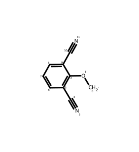 [CH2]Oc1c(C#N)cccc1C#N